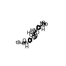 CC(C)(C)OC(=O)Nc1ccc(N2CCO[C@H]([C@@H](O)C(=O)Nc3ccc(-c4noc(=O)[nH]4)cc3)C2=O)cc1